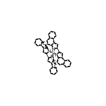 c1ccc2c(c1)ccc1c2cc2n1[Si]1(n3c-2cc2c4ccccc4ccc23)n2c(cc3c4ccccc4ccc32)-c2cc3c4ccccc4ccc3n21